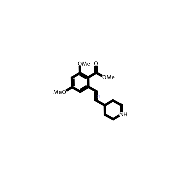 COC(=O)c1c(/C=C/C2CCNCC2)cc(OC)cc1OC